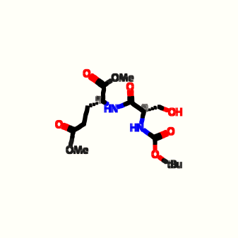 COC(=O)CC[C@@H](NC(=O)[C@H](CO)NC(=O)OC(C)(C)C)C(=O)OC